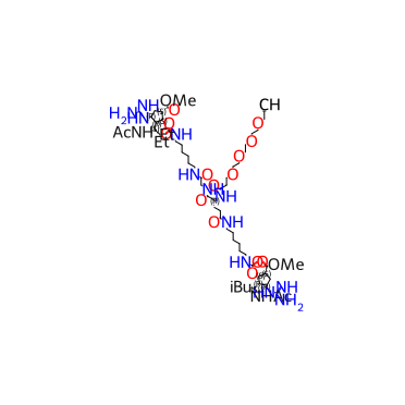 C#CCOCCOCCOCCOCCC(=O)N[C@H](CCC(=O)NCCCCCCNC(=O)O[C@H]1[C@@H]([C@@H](NC(C)=O)C(C)CC)[C@H](NC(=N)N)C[C@@H]1C(=O)OC)C(=O)NCC(=O)NCCCCCCNC(=O)O[C@H]1[C@@H]([C@@H](NC(C)=O)C(CC)CC)[C@H](NC(=N)N)C[C@@H]1C(=O)OC